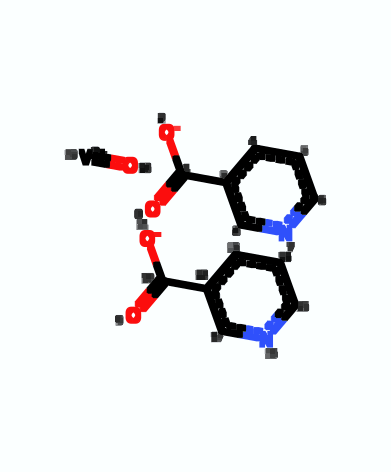 O=C([O-])c1cccnc1.O=C([O-])c1cccnc1.[O]=[V+2]